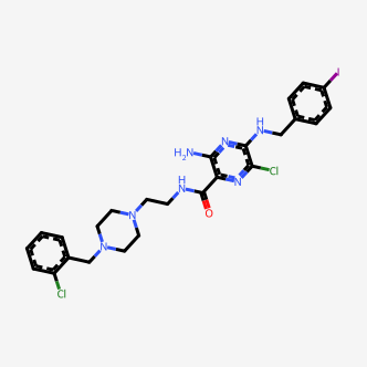 Nc1nc(NCc2ccc(I)cc2)c(Cl)nc1C(=O)NCCN1CCN(Cc2ccccc2Cl)CC1